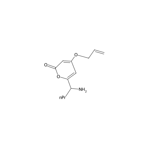 C=CCOc1cc(C(N)CCC)oc(=O)c1